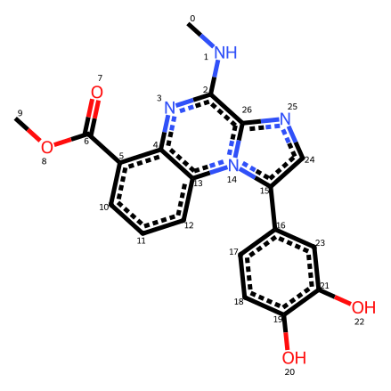 CNc1nc2c(C(=O)OC)cccc2n2c(-c3ccc(O)c(O)c3)cnc12